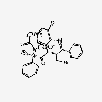 COC(=O)N(C(=O)[O-])[N+](C(=O)c1c(CBr)c(-c2ccccc2)nc2c(F)cccc12)(c1ccccc1)C(C)(C)C